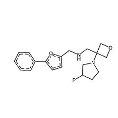 FC1CCN(C2(CNCc3ccc(-c4ccccc4)o3)COC2)C1